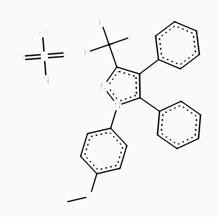 CSc1ccc(-n2nc(C(F)(F)F)c(-c3ccccc3)c2-c2ccccc2)cc1.NS(=O)(=O)O